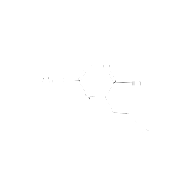 COC(=O)NC(COC(C)(C)C)C(=O)C(C)C